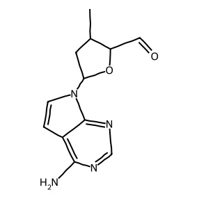 CC1CC(n2ccc3c(N)ncnc32)OC1C=O